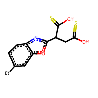 CCc1ccc2nc(C(CC(O)=S)C(O)=S)oc2c1